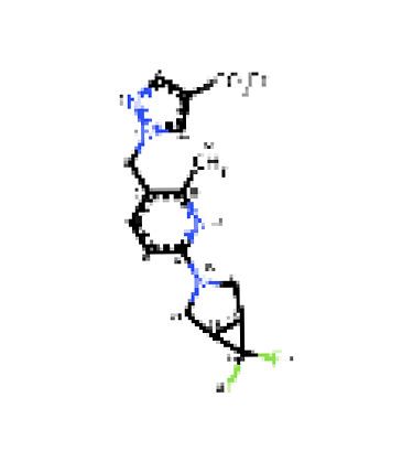 CCOC(=O)c1cnn(Cc2ccc(N3CC4C(C3)C4(F)F)nc2C)c1